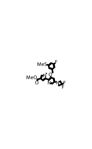 COC(=O)c1cc(-c2ncc(N3CC(F)(F)C3)cc2OCc2cc(F)cc(SC)c2)n(C)c1